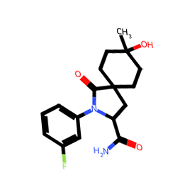 CC1(O)[CH]CC2(CC1)CC(C(N)=O)N(c1cccc(F)c1)C2=O